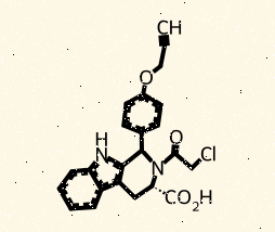 C#CCOc1ccc(C2c3[nH]c4ccccc4c3C[C@@H](C(=O)O)N2C(=O)CCl)cc1